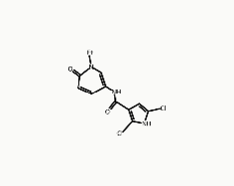 CCn1cc(NC(=O)c2cc(Cl)[nH]c2Cl)ccc1=O